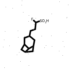 O=S(=O)(O)C(F)CCC1CC2CC3CC(C1)C23